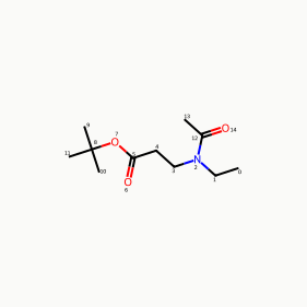 CCN(CCC(=O)OC(C)(C)C)C(C)=O